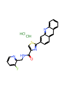 Cl.Cl.O=C(NCc1ncccc1F)c1csc(-c2ccc3cc4ccccc4nc3c2)n1